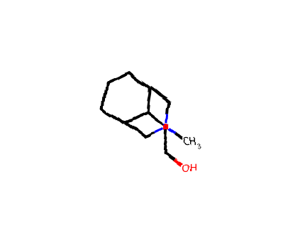 CN1CC2CCCC(C1)C2CCO